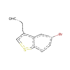 O=CCc1csc2ccc(Br)cc12